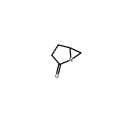 O=C1CCC2CN12